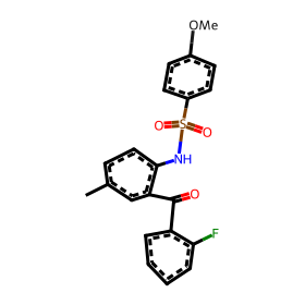 COc1ccc(S(=O)(=O)Nc2ccc(C)cc2C(=O)c2ccccc2F)cc1